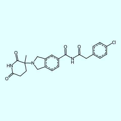 CC1(N2Cc3ccc(C(=O)NC(=O)Cc4ccc(Cl)cc4)cc3C2)CCC(=O)NC1=O